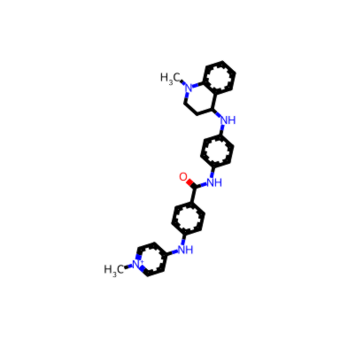 CN1CCC(Nc2ccc(NC(=O)c3ccc(Nc4cc[n+](C)cc4)cc3)cc2)c2ccccc21